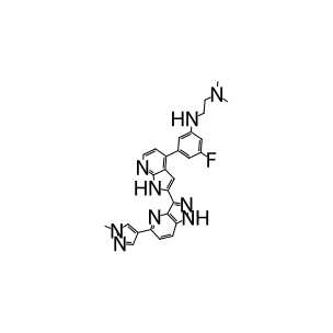 CN(C)CCNc1cc(F)cc(-c2ccnc3[nH]c(-c4n[nH]c5ccc(-c6cnn(C)c6)nc45)cc23)c1